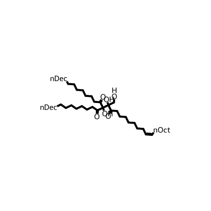 CCCCCCCC/C=C\CCCCCCCC(=O)C(O)(CO)C(O)(C(=O)CCCCCCCCCCCCCCCCC)C(=O)CCCCCCCCCCCCCCCCC